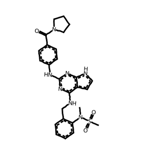 CN(c1ccccc1CNc1nc(Nc2ccc(C(=O)N3CCCC3)cc2)nc2[nH]ccc12)S(C)(=O)=O